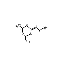 CC(=O)OCC=C1CC(C)OC(C)C1